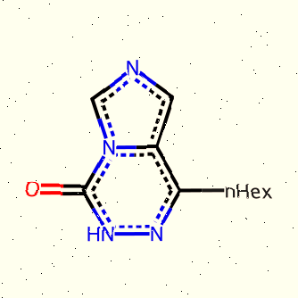 CCCCCCc1n[nH]c(=O)n2cncc12